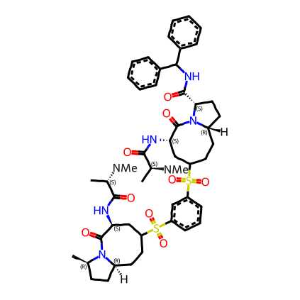 CN[C@@H](C)C(=O)N[C@H]1CC(S(=O)(=O)c2cccc(S(=O)(=O)C3CC[C@H]4CC[C@@H](C(=O)NC(c5ccccc5)c5ccccc5)N4C(=O)[C@@H](NC(=O)[C@H](C)NC)C3)c2)CC[C@H]2CC[C@@H](C)N2C1=O